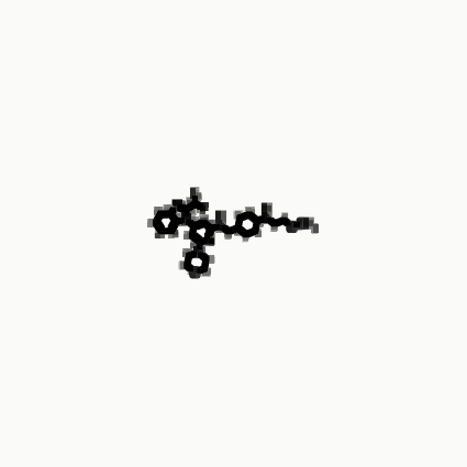 COCCNC1CCC(CNc2cc(-n3c(C(F)F)nc4ccccc43)cc(N3CCOCC3)n2)CC1